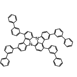 c1ccc(-c2cccc(-c3ccc4c(c3)c3c(-c5cccc(-c6ccccc6)c5)ccc5c3n4c3ccc(-c4cccc(-c6ccccc6)c4)c4c6cc(-c7cccc(-c8ccccc8)c7)ccc6n5c43)c2)cc1